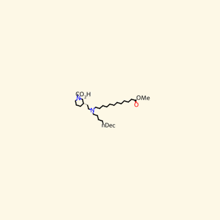 CCCCCCCCCCCCCCN(CCCCCCCCCCCC(=O)OC)CC[C@@H]1CCCN(C(=O)O)C1